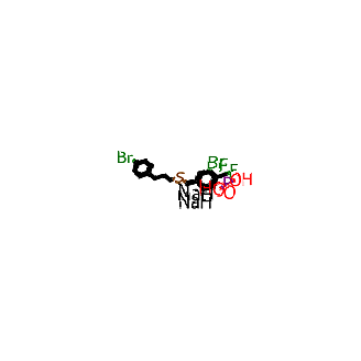 O=P(O)(O)C(F)(F)c1ccc(CSCCCc2ccc(Br)cc2)cc1Br.[NaH].[NaH]